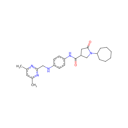 Cc1cc(C)nc(CNc2ccc(NC(=O)C3CC(=O)N(C4CCCCCC4)C3)cc2)n1